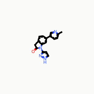 Cc1ccc(-c2ccc3c(c2)N(c2cc[nH]n2)C(=O)C3)cn1